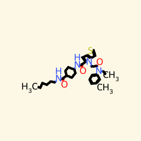 CCCCCCNC(=O)C1CCC(NC(=O)c2cc3sccc3n2CC(=O)N(CC)c2cccc(C)c2)CC1